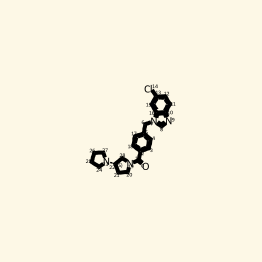 O=C(c1ccc(Cn2cnc3ccc(Cl)cc32)cc1)N1CC[C@H](N2CCCC2)C1